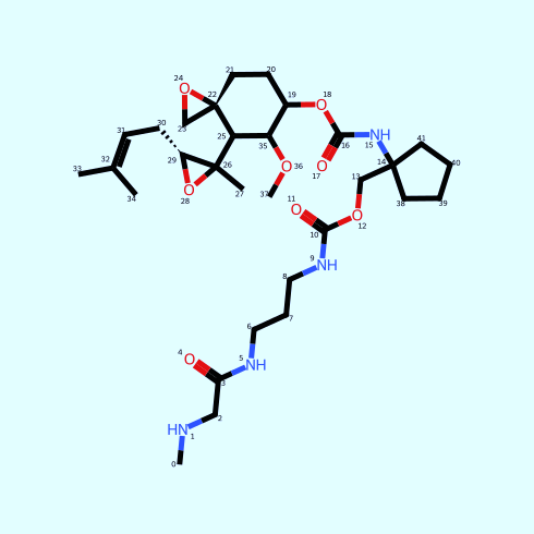 CNCC(=O)NCCCNC(=O)OCC1(NC(=O)OC2CC[C@]3(CO3)C(C3(C)O[C@@H]3CC=C(C)C)C2OC)CCCC1